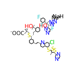 CC(C)(O)c1ccccc1CC[C@@H](SCC1(CC(=O)[O-])CC1)c1cccc(/C=C/c2ccc3ccc(Cl)cc3n2)c1.C[C@@H](c1ncncc1F)[C@](O)(Cn1cncn1)c1ccc(F)cc1F.Cc1c(-c2cnccn2)ssc1=S.[Na+].[NaH]